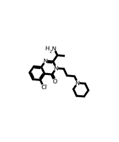 CC(N)c1nc2cccc(Cl)c2c(=O)n1CCCN1CCCCC1